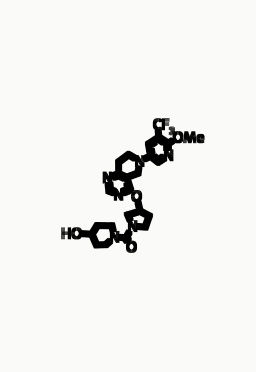 COc1ncc(N2CCc3ncnc(OC4CCN(C(=O)N5CCC(O)CC5)C4)c3C2)cc1C(F)(F)F